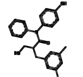 Cc1cc(C)cc(CC(CO)C(=O)N(c2ccccc2)c2ccc(O)cc2)c1